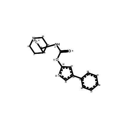 O=C(NC1CN2CCC1CC2)Oc1cc(-c2ccccc2)cs1